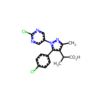 Cc1nn(-c2cnc(Cl)nc2)c(-c2ccc(Cl)cc2)c1C(C)C(=O)O